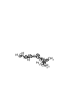 CC(=O)NCc1cnc(Nc2cc(COc3ccc(NC(=O)Nc4cc(C(C)(C)C)nn4-c4ccc(C)cc4)c4ccccc34)ccn2)cn1